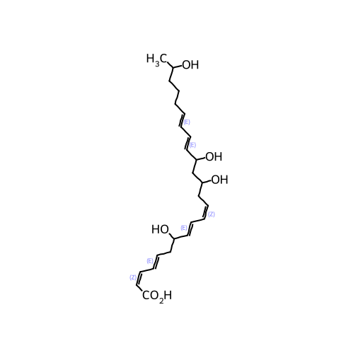 CC(O)CCC/C=C/C=C/C(O)CC(O)C/C=C\C=C\C(O)C/C=C/C=C\C(=O)O